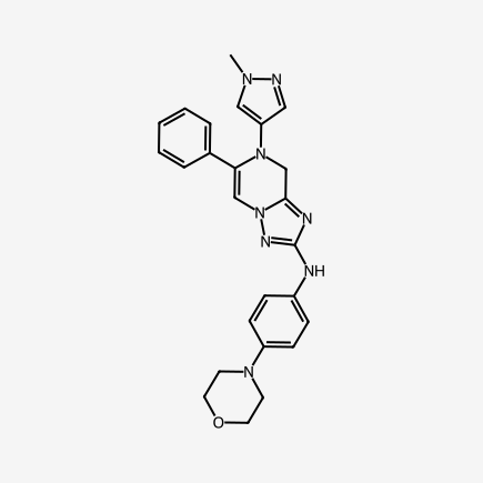 Cn1cc(N2Cc3nc(Nc4ccc(N5CCOCC5)cc4)nn3C=C2c2ccccc2)cn1